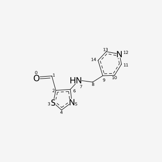 O=Cc1scnc1NCc1ccncc1